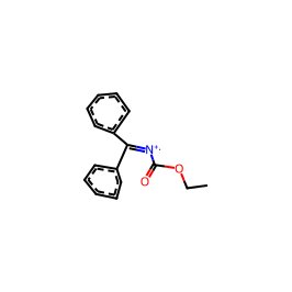 CCOC(=O)[N+]=C(c1ccccc1)c1ccccc1